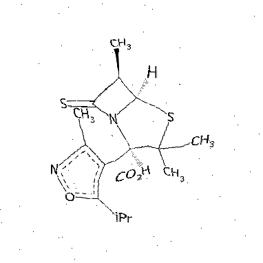 Cc1noc(C(C)C)c1[C@@]1(C(=O)O)N2C(=S)[C@@H](C)[C@H]2SC1(C)C